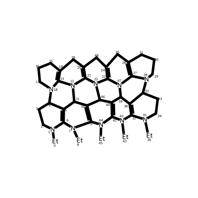 CCN1CCC2C3=C1N(CC)C1=C4C3N3C5=C(CCCN52)CC2=C3N3C5=C(CC6=C7N(CCC6)C6CCN(CC)C8=C6C(C(=C(N8CC)N1CC)C43)N75)C2